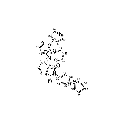 O=C1c2cccc(-n3c4ccccc4c4c(-c5ccncc5)cccc43)c2C(=O)N1c1ccc(-c2ccccc2)cc1